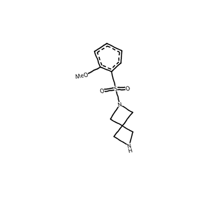 COc1ccccc1S(=O)(=O)N1CC2(CNC2)C1